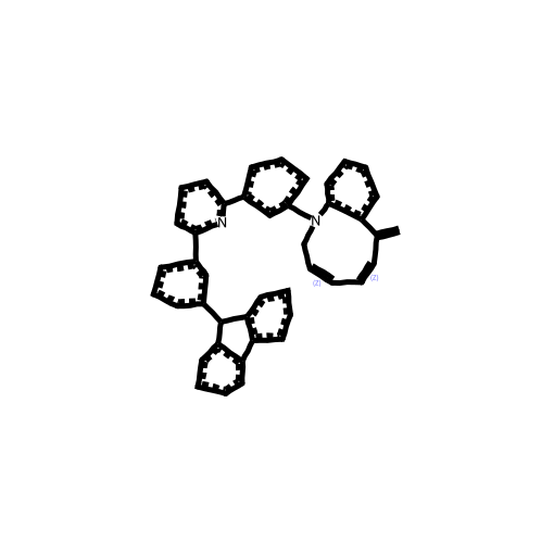 C=C1/C=C\C=C/CN(c2cccc(-c3cccc(-c4cccc(C5c6ccccc6-c6ccccc65)c4)n3)c2)c2ccccc21